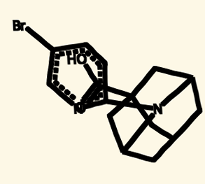 O=C(O)C12CC3CC(C1)N(c1ccc(Br)cn1)C(C3)C2